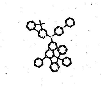 CC1(C)c2ccccc2-c2ccc(N(c3ccc(-c4ccccc4)cc3)c3ccc4c5c(c(-c6ccccc6)cc4c3)-c3ccccc3C5(c3ccccc3)c3ccccc3)cc21